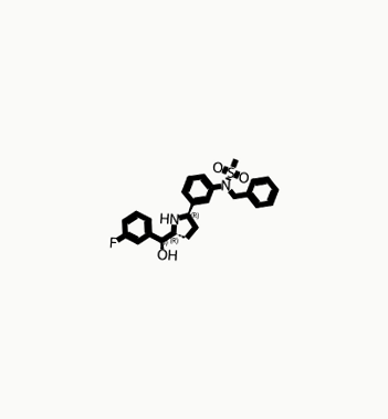 CS(=O)(=O)N(Cc1ccccc1)c1cccc([C@H]2CC[C@H]([C@@H](O)c3cccc(F)c3)N2)c1